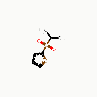 CC(C)S(=O)(=O)c1cccs1